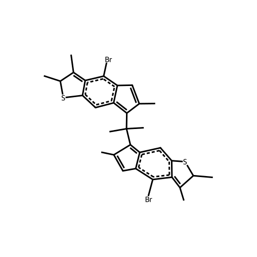 CC1=Cc2c(Br)c3c(cc2=C1C(C)(C)C1=c2cc4c(c(Br)c2C=C1C)=C(C)C(C)S4)SC(C)C=3C